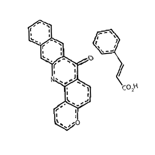 O=C(O)/C=C/c1ccccc1.O=c1c2cc3ccccc3cc2nc2c1ccc1occcc12